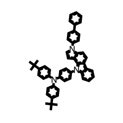 CC(C)(C)c1ccc(N(c2ccc(-n3c4ccccc4c4ccc5c(ccn5-c5ccc(-c6ccccc6)cc5)c43)cc2)c2ccc(C(C)(C)C)cc2)cc1